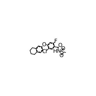 CS(=O)(=O)NC(=O)c1cc(Cl)c(Oc2ccc3c(c2)CCCC3)cc1F